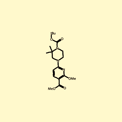 COC(=O)c1ccc(N2CCN(C(=O)OC(C)(C)C)C(C)(C)C2)nc1OC